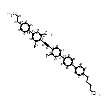 CCCCCc1ccc(-c2ccc(-c3ccc(C#Cc4c(C)cc(-c5ccc(CCC)cc5)cc4F)c(F)c3)cc2)cc1